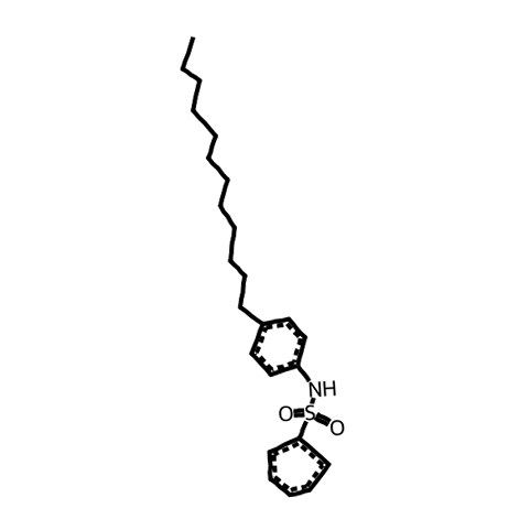 CCCCCCCCCCCCc1ccc(NS(=O)(=O)c2ccccc2)cc1